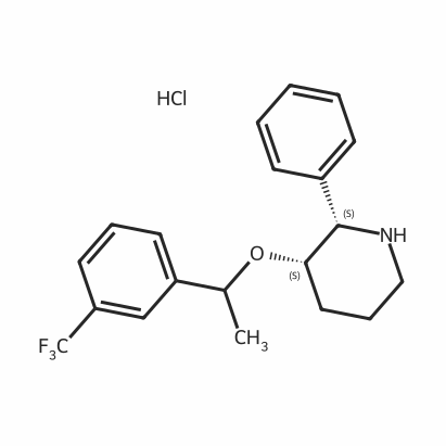 CC(O[C@H]1CCCN[C@H]1c1ccccc1)c1cccc(C(F)(F)F)c1.Cl